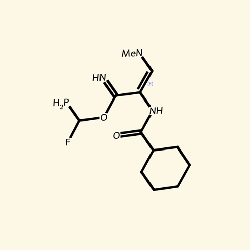 CN/C=C(/NC(=O)C1CCCCC1)C(=N)OC(F)P